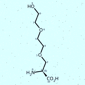 N[C@@H](COCCOCCO)C(=O)O